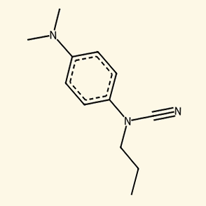 CCCN(C#N)c1ccc(N(C)C)cc1